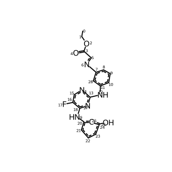 CCOC(=O)C=Nc1cccc(Nc2ncc(F)c(Nc3cccc(O)c3)n2)c1